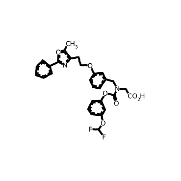 Cc1oc(-c2ccccc2)nc1CCOc1cccc(CN(CC(=O)O)C(=O)Oc2cccc(OC(F)F)c2)c1